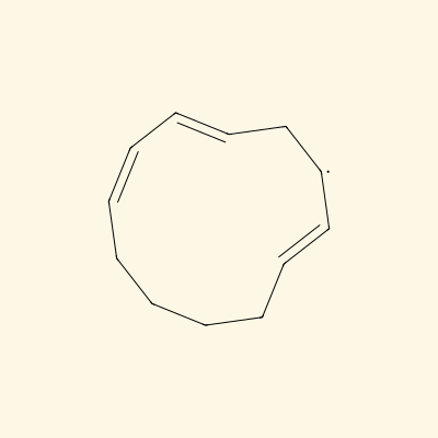 [CH]1/C=C/CCCC/C=C\C=C\C1